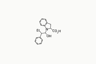 CCC(c1ccccc1)C(O)N1c2ccccc2CC1C(=O)O